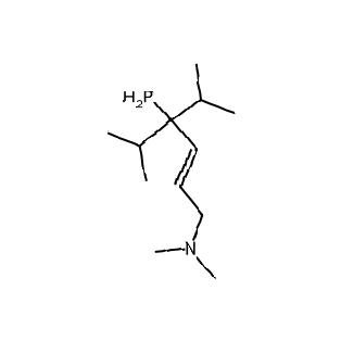 CC(C)C(P)(/C=C/CN(C)C)C(C)C